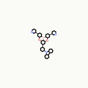 c1cncc(-c2ccc3c(c2)Oc2cc(-c4cccc(-n5c6ccccc6c6ccccc65)c4)cc4c2B3c2ccc(-c3cccnc3)cc2O4)c1